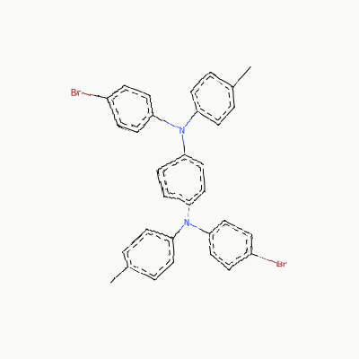 Cc1ccc(N(c2ccc(Br)cc2)c2ccc(N(c3ccc(C)cc3)c3ccc(Br)cc3)cc2)cc1